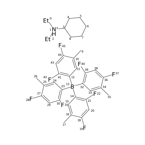 CC[NH+](CC)C1CCCCC1.Cc1cc([B-](c2cc(C)c(F)cc2F)(c2cc(C)c(F)cc2F)c2cc(C)c(F)cc2F)c(F)cc1F